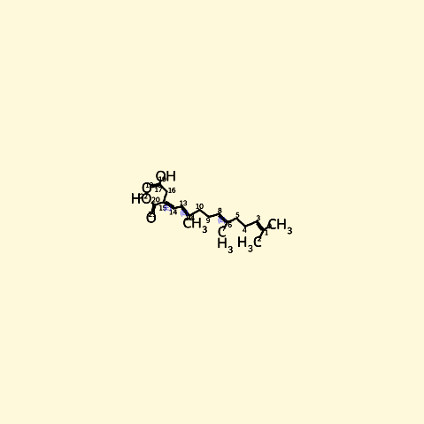 CC(C)=CCC/C(C)=C/CC/C(C)=C/C=C(\CC(=O)O)C(=O)O